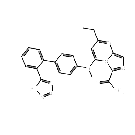 CCc1cc(N(C)c2ccc(-c3ccccc3-c3nnn[nH]3)cc2)n2c(C(N)=O)ncc2n1